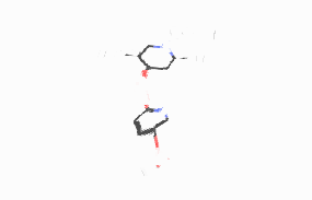 CC(C)Oc1ccc(OC2C[C@H](C)N(C(=O)O)C[C@@H]2C)nc1